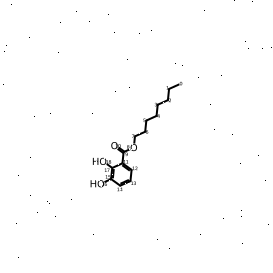 CCCCCCCCOC(=O)c1cccc(O)c1O